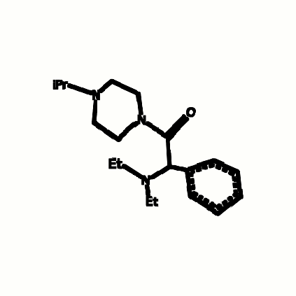 CCN(CC)C(C(=O)N1CCN(C(C)C)CC1)c1ccccc1